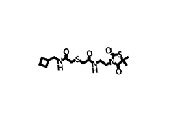 CC1(C)SC(=O)N(CCNC(=O)CSCC(=O)NCC2CCC2)C1=O